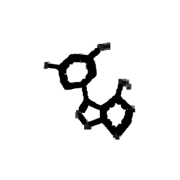 Nc1ncnc2c1C(c1cc(O)cc(F)c1)=N[N]2